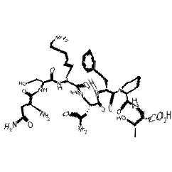 C[C@@H](O)[C@H](NC(=O)[C@@H]1CCCN1C(=O)[C@H](Cc1ccccc1)NC(=O)[C@H](CC(N)=O)NC(=O)[C@H](CCCCN)NC(=O)[C@H](CO)NC(=O)[C@@H](N)CC(N)=O)C(=O)O